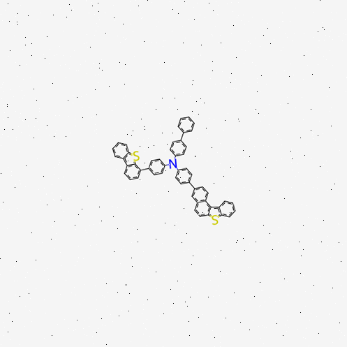 c1ccc(-c2ccc(N(c3ccc(-c4ccc5c(ccc6sc7ccccc7c65)c4)cc3)c3ccc(-c4cccc5c4sc4ccccc45)cc3)cc2)cc1